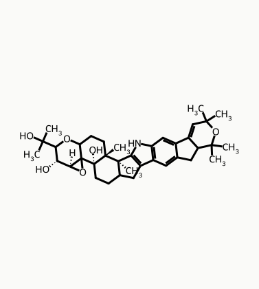 CC1(C)C=C2c3cc4[nH]c5c(c4cc3CC2C(C)(C)O1)CC1CC[C@@]2(O)C34O[C@H]3[C@H](O)C(C(C)(C)O)OC4CC[C@]2(C)[C@@]51C